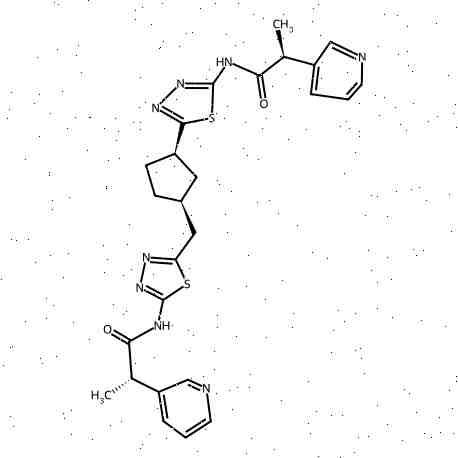 C[C@H](C(=O)Nc1nnc(C[C@H]2CC[C@@H](c3nnc(NC(=O)[C@@H](C)c4cccnc4)s3)C2)s1)c1cccnc1